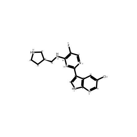 Fc1cnc(-c2c[nH]c3ncc(Cl)cc23)nc1NC[C@H]1CCNC1